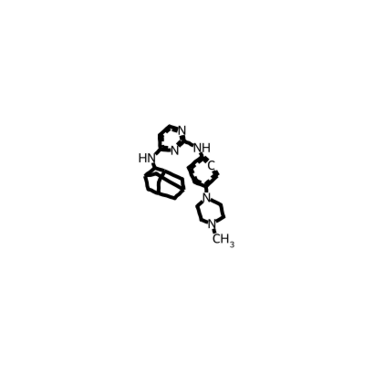 CN1CCN(c2ccc(Nc3nccc(NC4C5CC6CC(C5)CC4C6)n3)cc2)CC1